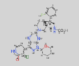 O=C(O)NC[C@]1(c2ccccc2F)[C@@H]2CCN(c3cnc4c(-c5cc[nH]c(=O)c5Cl)nn(C5CCCCO5)c4n3)C[C@@H]21